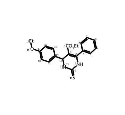 CCOC(=O)C1=C(c2ccccc2)NC(=S)NC1c1ccc(OCC)cc1